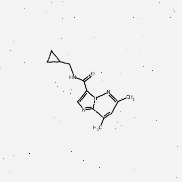 Cc1cc(C)c2ncc(C(=O)NCC3CC3)n2n1